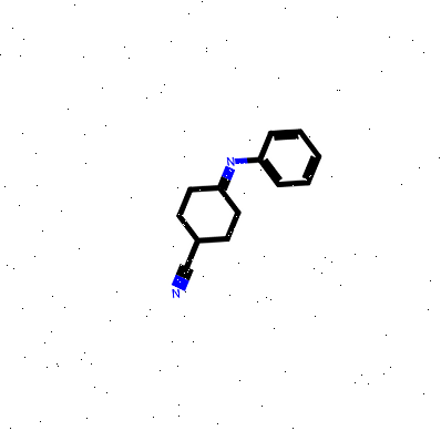 N#CC1CCC(=Nc2ccccc2)CC1